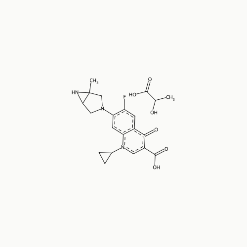 CC(O)C(=O)O.CC12CN(c3cc4c(cc3F)c(=O)c(C(=O)O)cn4C3CC3)CC1N2